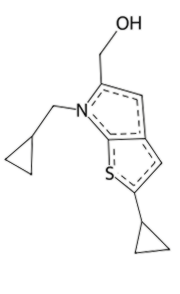 OCc1cc2cc(C3CC3)sc2n1CC1CC1